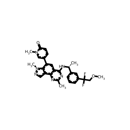 COCC(F)(F)c1cccc([C@@H](C)Nc2nc(C)nc3c2cc(-c2ccc(=O)n(C)c2)c2c3cnn2C)c1